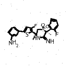 C[C@@]1(c2sc(-c3cccc(N)c3)cc2F)CS(=O)(=O)[C@@](C)(c2ccccc2F)C(=N)N1